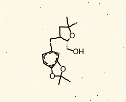 CC1(C)CC(Cc2ccc3c(c2)OC(C)(C)O3)[C@@H](CO)O1